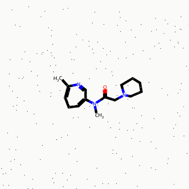 CC1=CCC=C(N(C)C(=O)CN2CCCCC2)C=N1